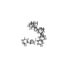 c1ccc(COCCc2cccc3c2CN(c2cncc(OC[C@@H]4CCCN4)c2)CC3)cc1